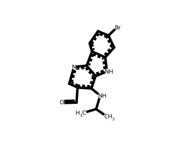 CC(C)Nc1c(C=O)cnc2c1[nH]c1cc(Br)ccc12